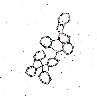 c1ccc(N(c2ccc3c(c2)C2(c4ccccc4-c4ccccc42)c2ccccc2-3)c2ccccc2-c2cccc3c2oc2ccccc23)cc1